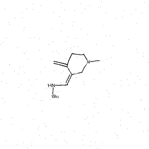 C=C1CCN(C)C/C1=C/NC(C)(C)C